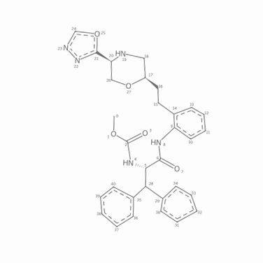 COC(=O)N[C@H](C(=O)Nc1ccccc1CC[C@@H]1CN[C@H](c2nnco2)CO1)C(c1ccccc1)c1ccccc1